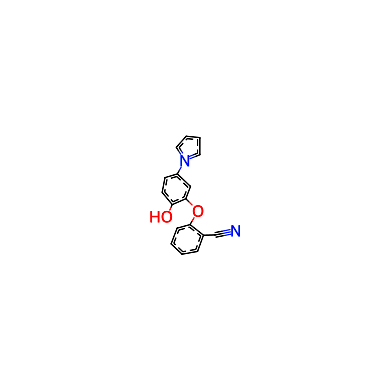 N#Cc1ccccc1Oc1cc(-n2cccc2)ccc1O